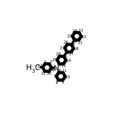 Cc1ccc(N(c2ccccc2)c2ccc(-c3ccc(-c4ccccc4)cc3)cc2)cc1